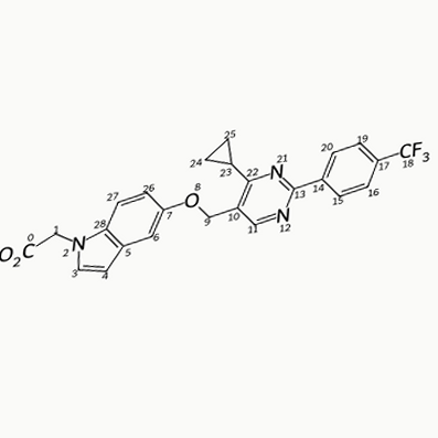 CCOC(=O)Cn1ccc2cc(OCc3cnc(-c4ccc(C(F)(F)F)cc4)nc3C3CC3)ccc21